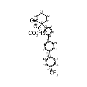 O=C(O)C[C@]1(c2ccc(-c3ccc(-c4ccc(C(F)(F)F)cc4)cc3)s2)CCCCS1(=O)=O